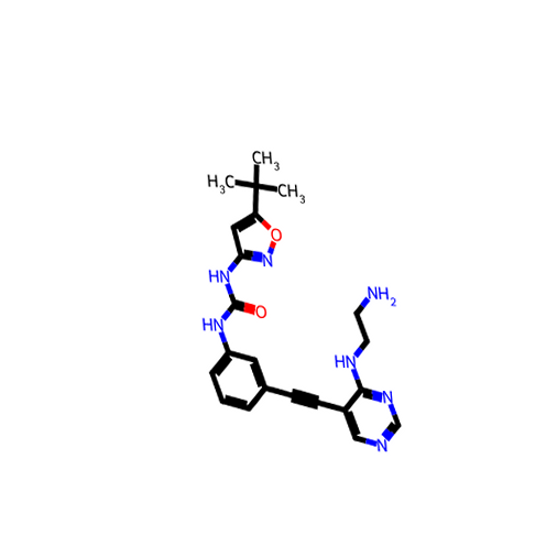 CC(C)(C)c1cc(NC(=O)Nc2cccc(C#Cc3cncnc3NCCN)c2)no1